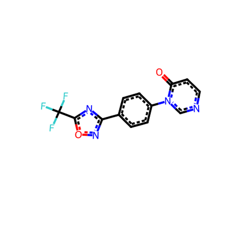 O=c1ccncn1-c1ccc(-c2noc(C(F)(F)F)n2)cc1